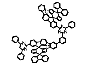 c1ccc(-c2cc(-c3ccccc3)nc(-c3ccc4c(c3)C3(c5ccccc5C5(c6ccccc6-c6ccccc65)c5ccccc53)c3c-4ccc4c3oc3ccc(-c5cccc(-c6nc(-c7ccccc7)nc(-c7ccc8c(c7)C7(c9ccccc9C9(c%10ccccc%10-c%10ccccc%109)c9ccccc97)c7c-8ccc8c7oc7ccccc78)n6)c5)cc34)n2)cc1